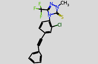 Cn1nc(C(F)(F)F)n(-c2ccc(C#Cc3ccccc3)cc2Cl)c1=S